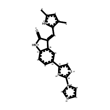 Cc1cc(C)c(/C=C2\C(=O)Nc3ccc(-c4csc(-n5ccnc5)n4)cc32)[nH]1